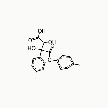 Cc1ccc(OC(=O)C(O)(c2ccc(C)cc2)C(O)C(=O)O)cc1